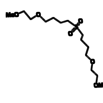 COCCOCCCCS(=O)(=O)CCCCOCCOC